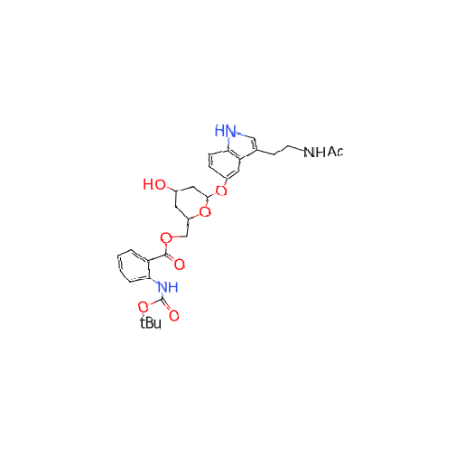 CC(=O)NCCc1c[nH]c2ccc(OC3CC(O)CC(COC(=O)c4ccccc4NC(=O)OC(C)(C)C)O3)cc12